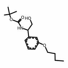 CCCCOc1cccc(C(CO)NC(=O)OC(C)(C)C)c1